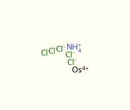 [Cl-].[Cl-].[Cl-].[Cl-].[Cl-].[NH4+].[Os+4]